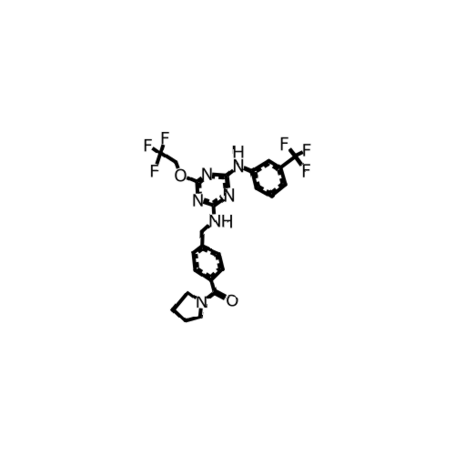 O=C(c1ccc(CNc2nc(Nc3cccc(C(F)(F)F)c3)nc(OCC(F)(F)F)n2)cc1)N1CCCC1